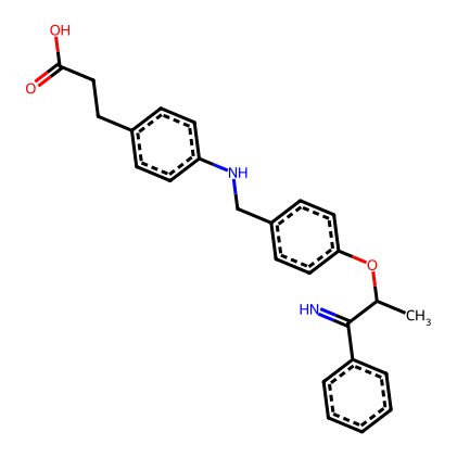 CC(Oc1ccc(CNc2ccc(CCC(=O)O)cc2)cc1)C(=N)c1ccccc1